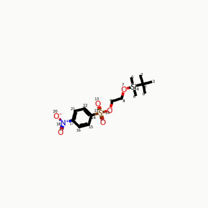 CC(C)(C)[Si](C)(C)OCCOS(=O)(=O)c1ccc([N+](=O)[O-])cc1